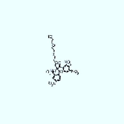 O=C(c1ccc([N+](=O)[O-])cc1[N+](=O)[O-])C(O)(COCCOCCOCCO)C(=O)c1ccc([N+](=O)[O-])cc1[N+](=O)[O-]